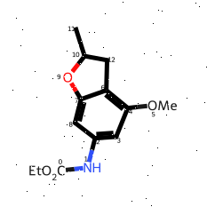 CCOC(=O)Nc1cc(OC)c2c(c1)OC(C)C2